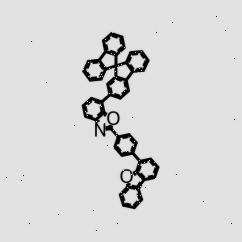 c1ccc2c(c1)-c1ccccc1C21c2ccccc2-c2ccc(-c3cccc4nc(-c5ccc(-c6cccc7c6oc6ccccc67)cc5)oc34)cc21